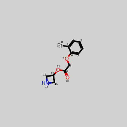 CCc1ccccc1OCC(=O)OC1CNC1